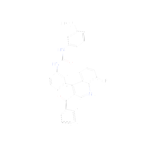 CCOC(=O)c1cccc(NC(=O)Nc2cccc(-c3c(C(=O)c4ccccc4)cnc4c(C(F)(F)F)cccc34)c2)c1